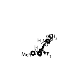 CN[C@H]1CC[C@H](Nc2cccc3c2cc(C#CCOc2ccc(S(C)(=O)=O)cc2N)n3CC(F)(F)F)CC1